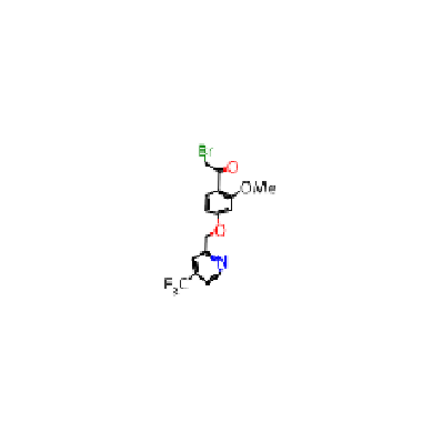 COc1cc(OCc2cc(C(F)(F)F)ccn2)ccc1C(=O)CBr